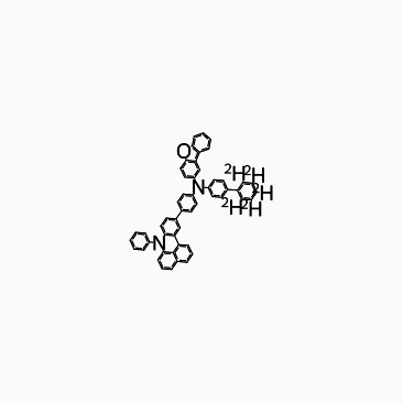 [2H]c1c([2H])c([2H])c(-c2ccc(N(c3ccc(-c4ccc5c(c4)-c4cccc6cccc(c46)N5c4ccccc4)cc3)c3ccc4oc5ccccc5c4c3)cc2)c([2H])c1[2H]